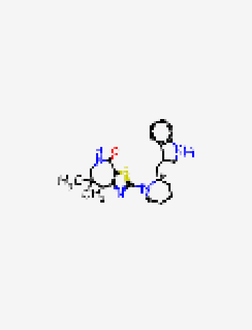 CC1(C)CNC(=O)c2sc(N3CCCC[C@@H]3CC3CNc4ccccc43)nc2C1